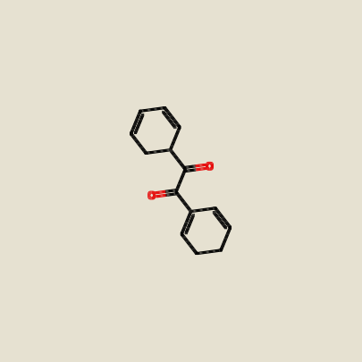 O=C(C(=O)C1C=CC=CC1)C1=CCCC=C1